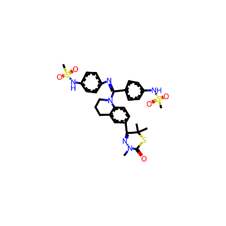 CN1N=C(c2ccc3c(c2)CCCN3/C(=N\c2ccc(NS(C)(=O)=O)cc2)c2ccc(NS(C)(=O)=O)cc2)C(C)(C)SC1=O